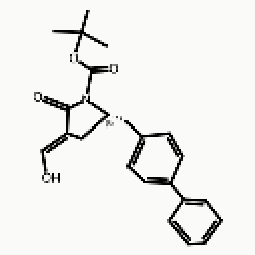 CC(C)(C)OC(=O)N1C(=O)C(=CO)C[C@H]1Cc1ccc(-c2ccccc2)cc1